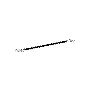 CCCCCCCCCCCCCCCCCCCCCCCCCCCCCCCCCCCCCCCCCCCCCCCCCCCCCCCCCC